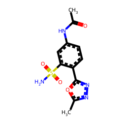 CC(=O)Nc1ccc(-c2nnc(C)o2)c(S(N)(=O)=O)c1